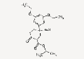 CCOc1cc(OCC)cc(C2(C#N)CCC(=O)C(C(=O)OC(C)C)C2)c1